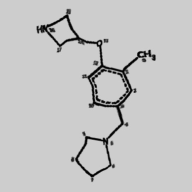 Cc1cc(CN2CCCC2)ccc1OC1CNC1